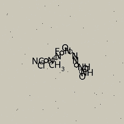 CC1CC2(CCN(c3ccc(C(=O)N4CCC(CN5CCN(c6cccc(NC7CCC(=O)NC7=O)c6)CC5)CC4)cc3F)CC2)CN1c1ccc(C#N)c(Cl)c1